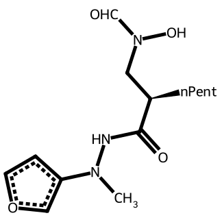 CCCCC[C@H](CN(O)C=O)C(=O)NN(C)c1ccoc1